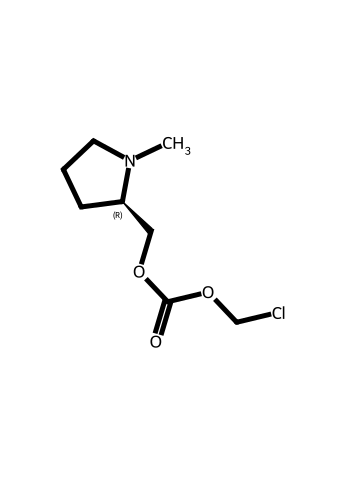 CN1CCC[C@@H]1COC(=O)OCCl